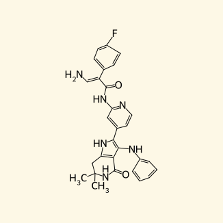 CC1(C)Cc2[nH]c(-c3ccnc(NC(=O)C(=CN)c4ccc(F)cc4)c3)c(Nc3ccccc3)c2C(=O)N1